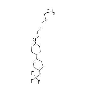 CCCCCCCO[C@H]1CC[C@H]([C@H]2CC[C@H](CC(F)(F)F)CC2)CC1